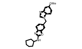 COc1ccc2c(c1)ncn2Cc1ccc2nc(NC3CCCCC3)oc2c1